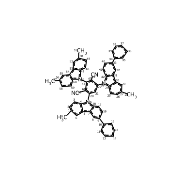 Cc1ccc2c(c1)c1cc(-c3ccccc3)ccc1n2-c1cc(-n2c3ccc(C)cc3c3cc(-c4ccccc4)ccc32)c(C#N)c(-n2c3ccc(C)cc3c3cc(C)ccc32)c1C#N